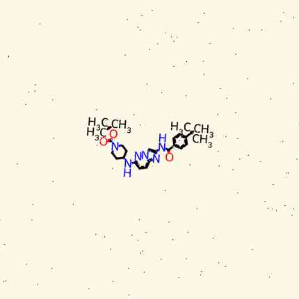 CC(C)(C)OC(=O)N1CCC(Nc2ccc3nc(NC(=O)c4ccc(C(C)(C)C)cc4)cn3n2)CC1